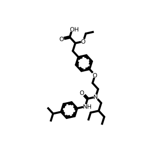 CCOC(Cc1ccc(OCCN(CC(CC)CC)C(=O)Nc2ccc(C(C)C)cc2)cc1)C(=O)O